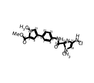 COC(=O)c1cc(-c2ccc(NC(=O)c3nc(NCl)cn3C)cc2)cn1C